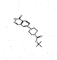 CC(C)(C)OC(=O)N1CCN(c2ccc3c(=O)[nH]ncc3c2)CC1